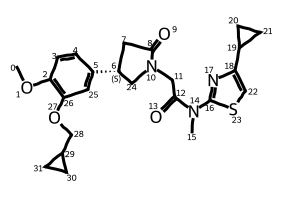 COc1ccc([C@@H]2CC(=O)N(CC(=O)N(C)c3nc(C4CC4)cs3)C2)cc1OCC1CC1